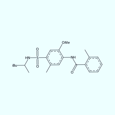 CCC(C)C(C)NS(=O)(=O)c1cc(OC)c(NC(=O)c2ccccc2C)cc1C